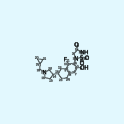 O=C1CN(c2c(O)cc3c(c2F)CC(C2CCN(CC4CC4)C2)CC3)S(=O)(=O)N1